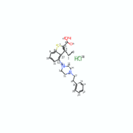 CCc1c(C(=O)O)sc2cccc(N3CCN(CCc4ccccc4)CC3)c12.Cl